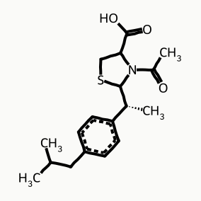 CC(=O)N1C(C(=O)O)CSC1[C@H](C)c1ccc(CC(C)C)cc1